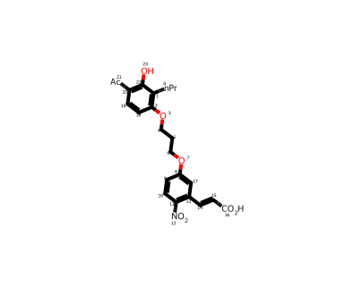 CCCc1c(OCCCOc2ccc([N+](=O)[O-])c(C=CC(=O)O)c2)ccc(C(C)=O)c1O